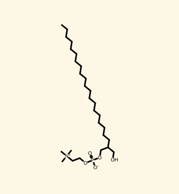 CCCCCCCCCCCCCCCCCCCCC(CO)COP(=O)([O-])OCC[N+](C)(C)C